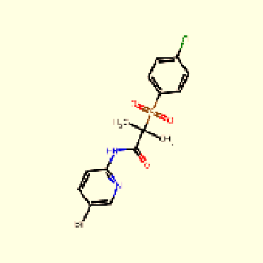 CCC(C)c1ccc(NC(=O)C(C)(C)S(=O)(=O)c2ccc(Cl)cc2)nc1